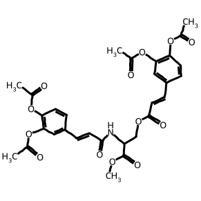 COC(=O)C(COC(=O)/C=C/c1ccc(OC(C)=O)c(OC(C)=O)c1)NC(=O)/C=C/c1ccc(OC(C)=O)c(OC(C)=O)c1